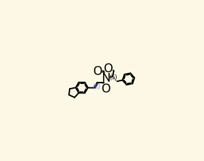 O=C(/C=C/c1ccc2c(c1)CCC2)N1C(=O)OC[C@@H]1Cc1ccccc1